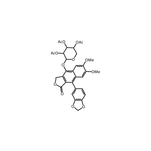 COc1cc2c(OC3OCC(OC(C)=O)C(OC(C)=O)C3OC(C)=O)c3c(c(-c4ccc5c(c4)OCO5)c2cc1OC)C(=O)OC3